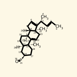 C/C=C/[C@@H](C)C1=CC[C@H]2[C@@H]3CC[C@@H]4C[C@H](P=O)CC[C@]4(C)C3=CC[C@]12C